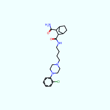 NC(=O)C1C2CCC(C2)C1C(=O)NCCCCN1CCN(c2ccccc2Cl)CC1